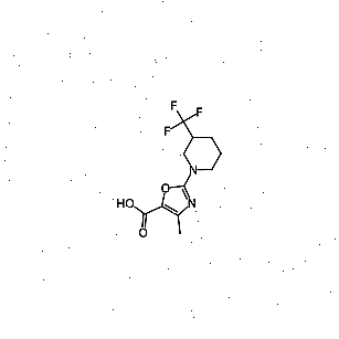 Cc1nc(N2CCCC(C(F)(F)F)C2)oc1C(=O)O